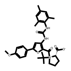 COc1ccc(-c2cc(NC(=O)Nc3c(C)cc(C)cc3C)c(C(=O)[N+]3(C(C)(C)C)CCC[C@H]3C(=O)[O-])s2)cc1